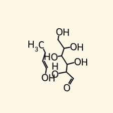 CCC=CO.O=CC(O)C(O)C(O)C(O)CO